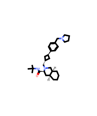 CC(C)(C)NC(=O)[C@@H]1C[C@@H]2CCCC[C@@H]2CN1C[C@H]1C[C@H](c2ccc(CN3CCCC3)cc2)C1